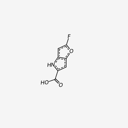 O=C(O)c1cc2oc(F)cc2[nH]1